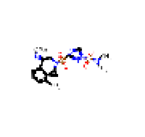 CO/N=C(\CN(C1CC1)S(=O)(=O)c1ncn(S(=O)(=O)N(C)C)n1)c1cccc(C)c1